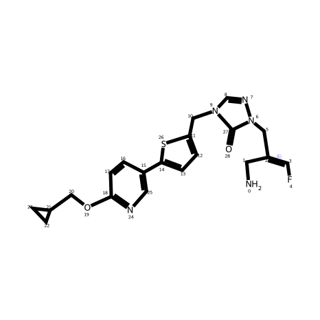 NC/C(=C\F)Cn1ncn(Cc2ccc(-c3ccc(OCC4CC4)nc3)s2)c1=O